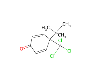 CC(C)(C)C1(C(Cl)(Cl)Cl)C=CC(=O)C=C1